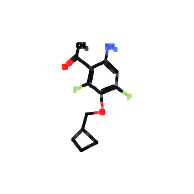 CC(=O)c1c(N)cc(F)c(OCC2CCC2)c1F